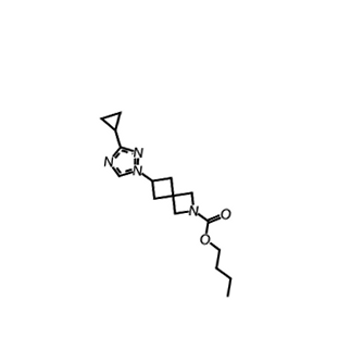 CCCCOC(=O)N1CC2(CC(n3cnc(C4CC4)n3)C2)C1